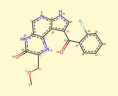 COCc1nc2c(cnc3[nH]cc(C(=O)c4ccccc4F)c32)[nH]c1=O